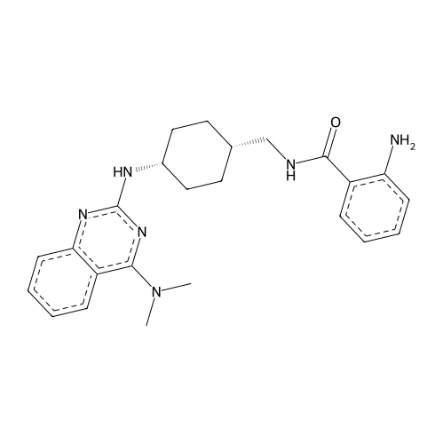 CN(C)c1nc(N[C@H]2CC[C@@H](CNC(=O)c3ccccc3N)CC2)nc2ccccc12